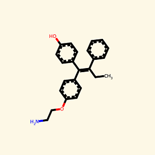 CCC(=C(c1ccc(O)cc1)c1ccc(OCCN)cc1)c1ccccc1